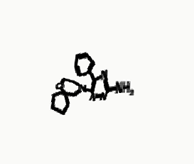 Nc1nnc(N2CCOC3(CCCC3)C2)c(-c2ccccc2)n1